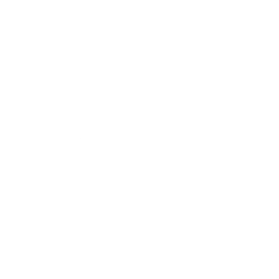 CC[CH]CCCCOCCCCCC